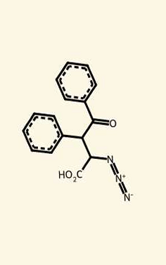 [N-]=[N+]=NC(C(=O)O)C(C(=O)c1ccccc1)c1ccccc1